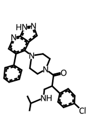 CC(C)NCC(C(=O)N1CCN(c2c(-c3ccccc3)cnc3[nH]ncc23)CC1)c1ccc(Cl)cc1